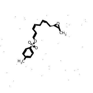 Cc1ccc(S(=O)(=O)O/C=C/C=C\C/C=C\C[C@H]2OC2C)cc1